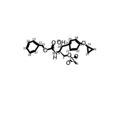 CS(=O)(=O)OC[C@@H](NC(=O)OCc1ccccc1)[C@H](O)c1ccc(OC2CC2)cc1